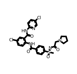 CS(=O)(=NC(=O)CN1CCCC1)c1ccc(C(=O)Nc2ccc(Cl)cc2C(=O)Nc2ccc(Cl)cn2)cc1